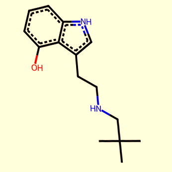 CC(C)(C)CNCCc1c[nH]c2cccc(O)c12